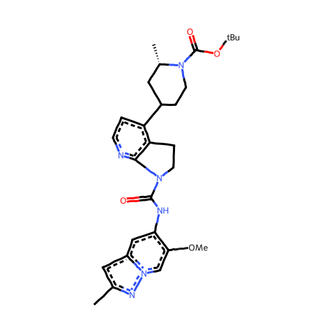 COc1cn2nc(C)cc2cc1NC(=O)N1CCc2c(C3CCN(C(=O)OC(C)(C)C)[C@@H](C)C3)ccnc21